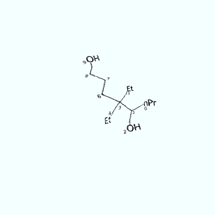 CCCC(O)C(CC)(CC)CCCO